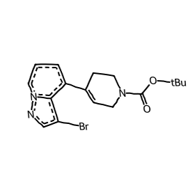 CC(C)(C)OC(=O)N1CC=C(c2cccn3ncc(Br)c23)CC1